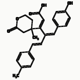 Cc1ccc(C=CC(=Cc2ccc(O)cc2)C(=CC(=O)O)C2(C)CCOC(=O)C2)cc1